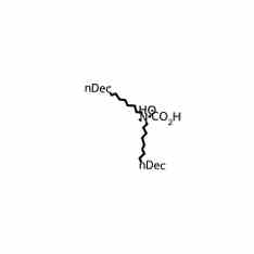 CCCCCCCCCCCCCCCCCC[N+](C)(C)CCCCCCCCCCCCCCCCCC.O=C(O)O